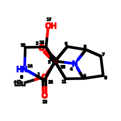 CC(C)(C)OC(=O)N1C2CCC1CC1(C2)C(=O)NCC1O